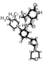 C[C@H]1CN(c2cc(F)c(-c3csc(N4CCOCC4)n3)cc2NC(=O)c2c[nH]c(=O)cc2C(F)(F)F)CCN1C